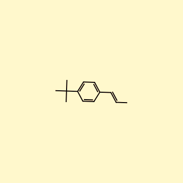 C/C=C/c1ccc(C(C)(C)C)cc1